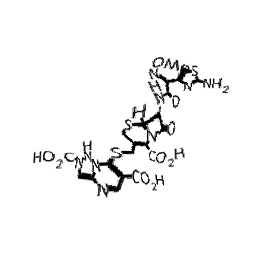 CON=C(C(=O)N[C@@H]1C(=O)N2C(C(=O)O)=C(CSC3=C(C(=O)O)C=NC4=CN(C(=O)O)NN43)CS[C@H]12)c1csc(N)n1